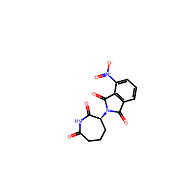 O=C1CCC[C@H](N2C(=O)c3cccc([N+](=O)[O-])c3C2=O)C(=O)N1